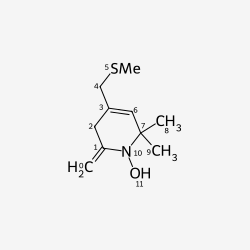 C=C1CC(CSC)=CC(C)(C)N1O